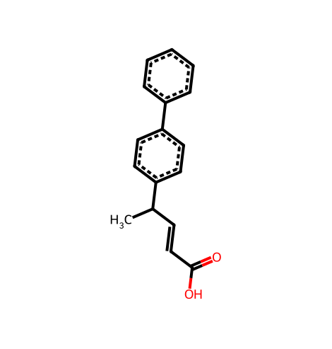 CC(C=CC(=O)O)c1ccc(-c2ccccc2)cc1